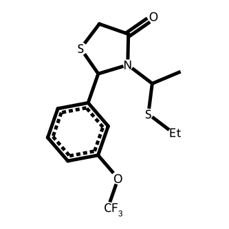 CCSC(C)N1C(=O)CSC1c1cccc(OC(F)(F)F)c1